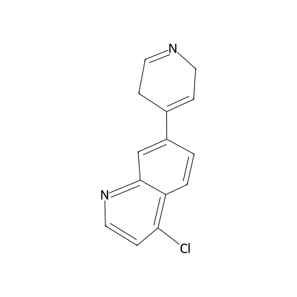 Clc1ccnc2cc(C3=CCN=CC3)ccc12